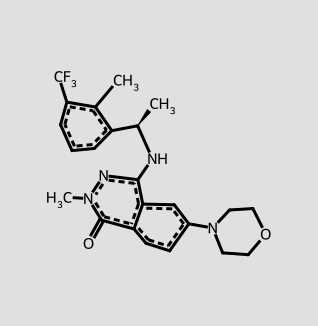 Cc1c([C@@H](C)Nc2nn(C)c(=O)c3ccc(N4CCOCC4)cc23)cccc1C(F)(F)F